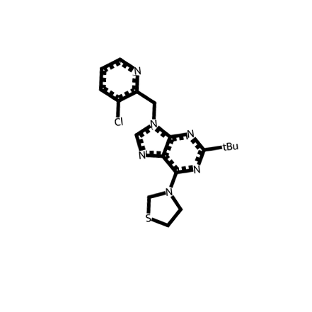 CC(C)(C)c1nc(N2CCSC2)c2ncn(Cc3ncccc3Cl)c2n1